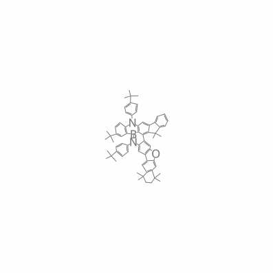 CC(C)(C)c1ccc(N2B3c4cc(C(C)(C)C)ccc4N(c4ccc(C(C)(C)C)cc4)c4cc5c(c(c43)-c3cc4oc6cc7c(cc6c4cc32)C(C)(C)CCC7(C)C)C(C)(C)c2ccccc2-5)cc1